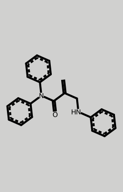 C=C(CNc1ccccc1)C(=O)N(c1ccccc1)c1ccccc1